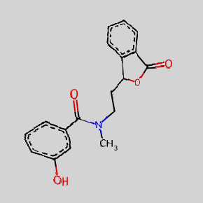 CN(CCC1OC(=O)c2ccccc21)C(=O)c1cccc(O)c1